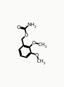 COc1cccc(COC(N)=O)c1OC